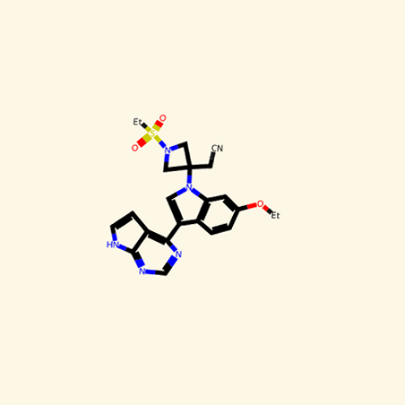 CCOc1ccc2c(-c3ncnc4[nH]ccc34)cn(C3(CC#N)CN(S(=O)(=O)CC)C3)c2c1